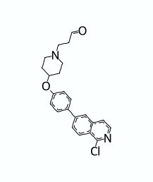 O=CCCN1CCC(Oc2ccc(-c3ccc4c(Cl)nccc4c3)cc2)CC1